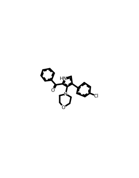 O=C(c1ccccc1)c1[nH]cc(-c2ccc(Cl)cc2)c1N1CCOCC1